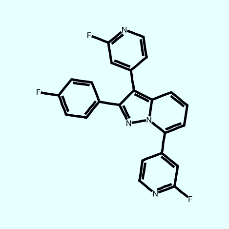 Fc1ccc(-c2nn3c(-c4ccnc(F)c4)cccc3c2-c2ccnc(F)c2)cc1